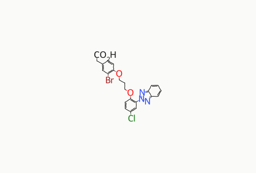 O=C(O)Cc1ccc(OCCCOc2ccc(Cl)cc2-n2nc3ccccc3n2)c(Br)c1